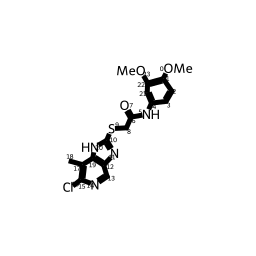 COc1ccc(NC(=O)CSc2nc3cnc(Cl)c(C)c3[nH]2)cc1OC